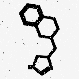 C1=NC(CC2CCc3ccccc3C2)CN1